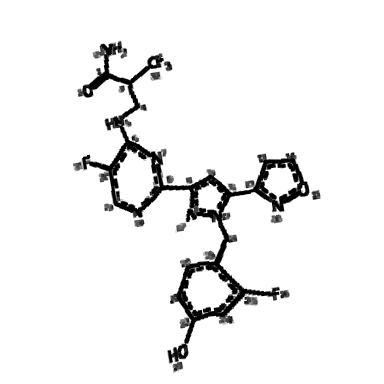 NC(=O)C(CNc1nc(-c2cc(-c3ccon3)n(Cc3ccc(O)cc3F)n2)ncc1F)C(F)(F)F